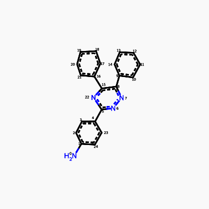 Nc1ccc(-c2nnc(-c3ccccc3)c(-c3ccccc3)n2)cc1